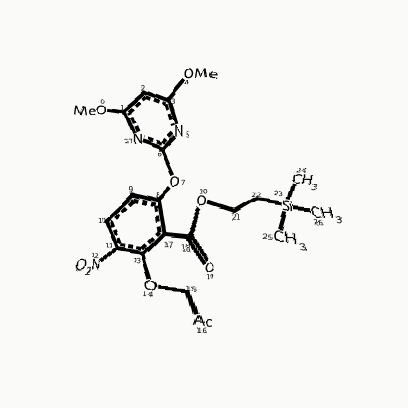 COc1cc(OC)nc(Oc2ccc([N+](=O)[O-])c(OCC(C)=O)c2C(=O)OCC[Si](C)(C)C)n1